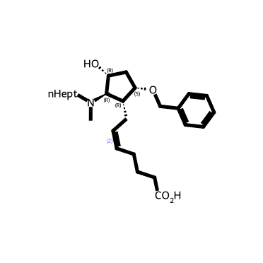 CCCCCCCN(C)[C@@H]1[C@@H](C/C=C\CCCC(=O)O)[C@@H](OCc2ccccc2)C[C@H]1O